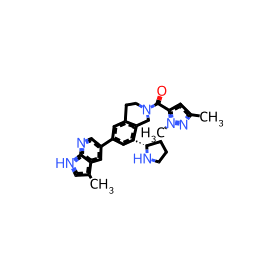 Cc1cc(C(=O)N2CCc3cc(-c4cnc5[nH]cc(C)c5c4)cc([C@@H]4CCCN4)c3C2)n(C)n1